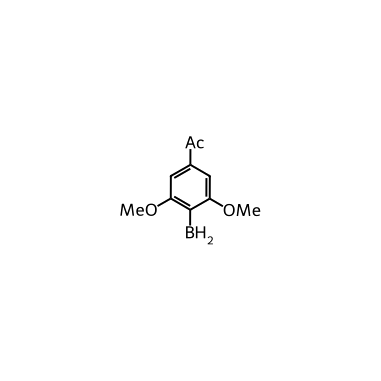 Bc1c(OC)cc(C(C)=O)cc1OC